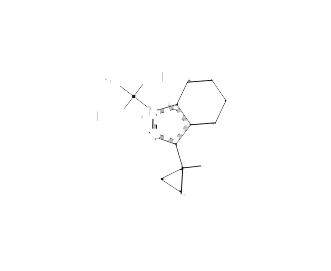 CC1(c2nn(C(C)(C)C)c3c2CCCC3)CC1